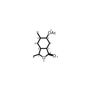 CC(=O)OC1CC2C(=O)OC(C)C2CC1C